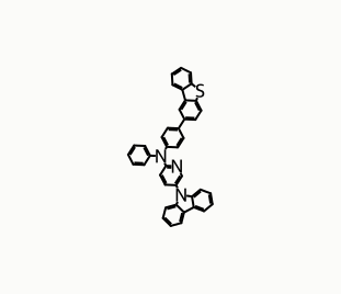 c1ccc(N(c2ccc(-c3ccc4sc5ccccc5c4c3)cc2)c2ccc(-n3c4ccccc4c4ccccc43)cn2)cc1